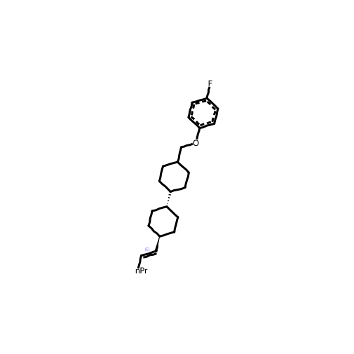 CCC/C=C/[C@H]1CC[C@H](C2CCC(COc3ccc(F)cc3)CC2)CC1